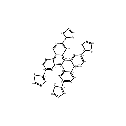 C1=CSC(c2ccc3c4ccc(-c5cccs5)cc4c4c5cc(-c6cccs6)ccc5c5ccc(C6CC=CS6)cc5c4c3c2)C1